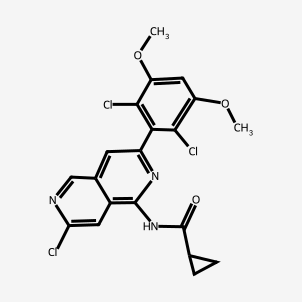 COc1cc(OC)c(Cl)c(-c2cc3cnc(Cl)cc3c(NC(=O)C3CC3)n2)c1Cl